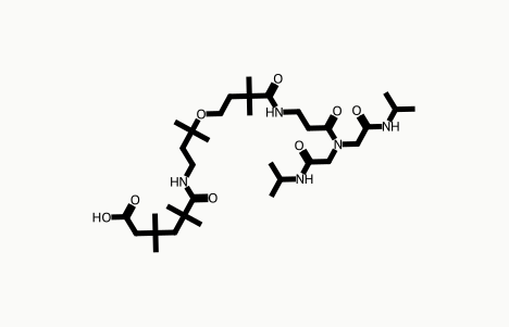 CC(C)NC(=O)CN(CC(=O)NC(C)C)C(=O)CCNC(=O)C(C)(C)CCOC(C)(C)CCNC(=O)C(C)(C)CC(C)(C)CC(=O)O